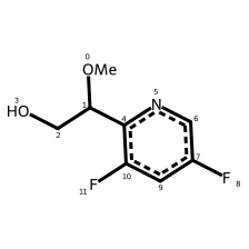 COC(CO)c1ncc(F)cc1F